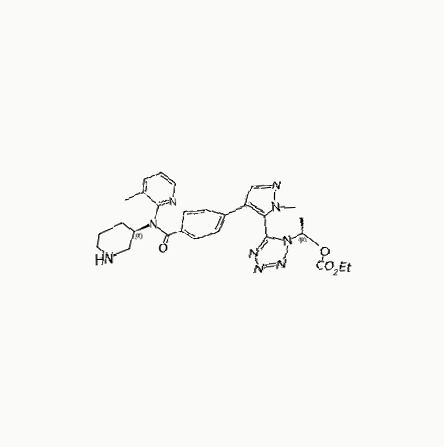 CCOC(=O)O[C@H](C)n1nnnc1-c1c(-c2ccc(C(=O)N(c3ncccc3C)[C@@H]3CCCNC3)cc2)cnn1C